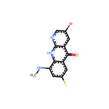 CNc1cc(F)cc2c(=O)c3cc(Br)cnc3[nH]c12